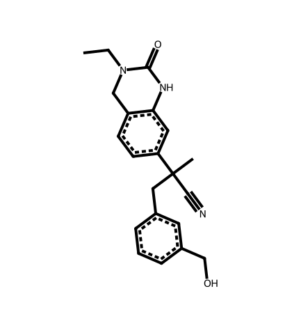 CCN1Cc2ccc(C(C)(C#N)Cc3cccc(CO)c3)cc2NC1=O